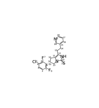 Fc1ccc(Cl)c(F)c1[C@@H]1Cc2c(CCc3cccnc3)[nH]c(=S)n2C1